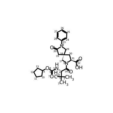 CC(C)(C)[C@H](NC(=O)OC1CCCC1)C(=O)N1C[C@@]2(CC(=O)N(c3ccccc3)C2)C[C@H]1C(=O)O